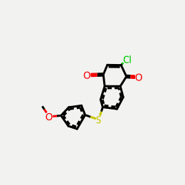 COc1ccc(Sc2ccc3c(c2)C(=O)C=C(Cl)C3=O)cc1